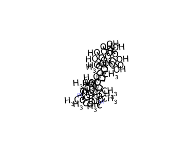 C/C=C(/C)C(=O)OC(C(C)O)C(OC(=O)/C(C)=C\C)C(O)C[C@H]1[C@H](O)[C@@]2(COC(C)=O)C(CC1(C)C)C1=CCC3[C@@]4(C)CC[C@H](OC5OC(C(=O)O)C(O)C(OC6OC(CO)C(O)C6O)C5OC5OC(CO)C(O)C(O)C5O)C(C)(C)C4CC[C@@]3(C)[C@]1(C)C[C@H]2O